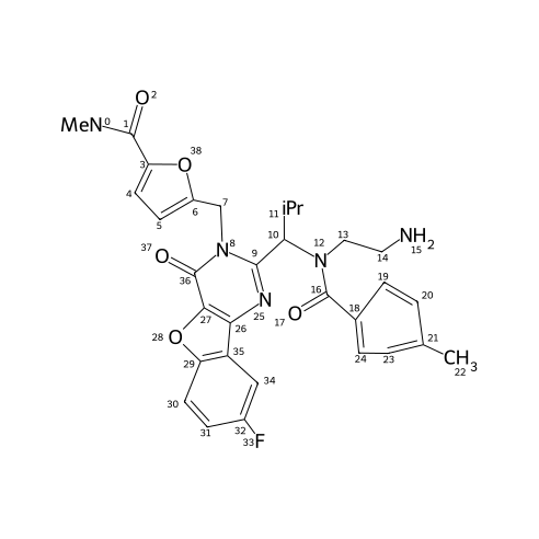 CNC(=O)c1ccc(Cn2c(C(C(C)C)N(CCN)C(=O)c3ccc(C)cc3)nc3c(oc4ccc(F)cc43)c2=O)o1